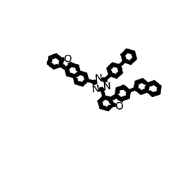 c1ccc(-c2ccc(-c3nc(-c4ccc5cc6c(cc5c4)oc4ccccc46)nc(-c4cccc5oc6cc(-c7ccc8ccccc8c7)ccc6c45)n3)cc2)cc1